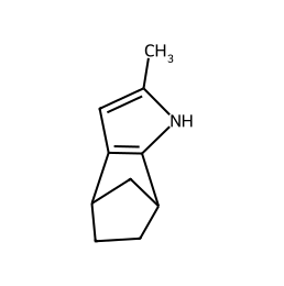 Cc1cc2c([nH]1)C1CCC2C1